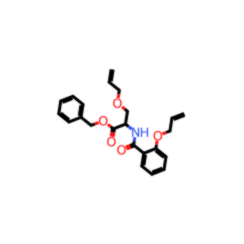 C=CCOCC(NC(=O)c1ccccc1OCC=C)C(=O)OCc1ccccc1